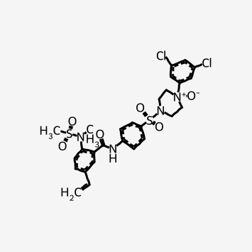 C=Cc1ccc(N(C)S(C)(=O)=O)c(C(=O)Nc2ccc(S(=O)(=O)N3CC[N+]([O-])(c4cc(Cl)cc(Cl)c4)CC3)cc2)c1